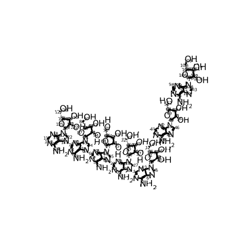 Nc1ncnc2c1ncn2[C@@H]1O[C@H](CO)[C@@H](O)[C@H]1O.Nc1ncnc2c1ncn2[C@@H]1O[C@H](CO)[C@@H](O)[C@H]1O.Nc1ncnc2c1ncn2[C@@H]1O[C@H](CO)[C@@H](O)[C@H]1O.Nc1ncnc2c1ncn2[C@@H]1O[C@H](CO)[C@@H](O)[C@H]1O.Nc1ncnc2c1ncn2[C@@H]1O[C@H](CO)[C@@H](O)[C@H]1O.Nc1ncnc2c1ncn2[C@@H]1O[C@H](CO)[C@@H](O)[C@H]1O.Nc1ncnc2c1ncn2[C@@H]1O[C@H](CO)[C@@H](O)[C@H]1O